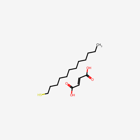 CCCCCCCCCCCCS.O=C(O)C=CC(=O)O